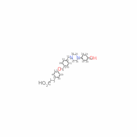 O=C(O)CCc1ccc(OCc2ccc(CN3CCN(c4ccc(O)cc4)CC3)cc2)cc1